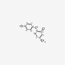 [O]c1ccc(Oc2ncc(C(F)(F)F)cc2Cl)cc1